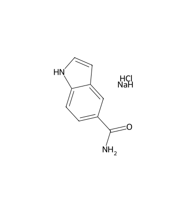 Cl.NC(=O)c1ccc2[nH]ccc2c1.[NaH]